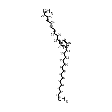 CCCCCCCCCCCCCCC[n+]1ccn(CCCCCCCCCC)c1